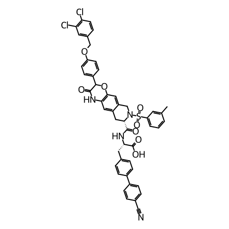 Cc1cccc(S(=O)(=O)N2Cc3cc4c(cc3C[C@H]2C(=O)N[C@@H](Cc2ccc(-c3ccc(C#N)cc3)cc2)C(=O)O)NC(=O)C(c2ccc(OCc3ccc(Cl)c(Cl)c3)cc2)O4)c1